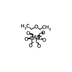 CCOCC.O=[C]=[Mo](=[C]=O)(=[C]=O)(=[C]=O)(=[C]=O)=[C]=O